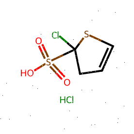 Cl.O=S(=O)(O)C1(Cl)CC=CS1